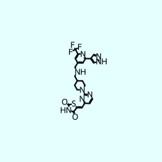 O=C1NC(=O)C(=Cc2ccnc(N3CCC(CNCc4cc(-c5cn[nH]c5)nc(C(F)(F)F)c4)CC3)n2)S1